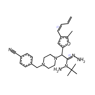 C=C/C=C\c1cc(C(/C(=N/N)N(N)C(C)(C)C)N2CCN(Cc3ccc(C#N)cc3)CC2)oc1C